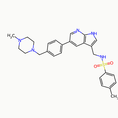 Cc1ccc(S(=O)(=O)NCc2c[nH]c3ncc(-c4ccc(CN5CCN(C)CC5)cc4)cc23)cc1